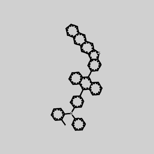 Cc1ccccc1N(c1ccccc1)c1ccc(-c2c3ccccc3c(-c3ccc4sc5cc6cc7ccccc7cc6cc5c4c3)c3ccccc23)cc1